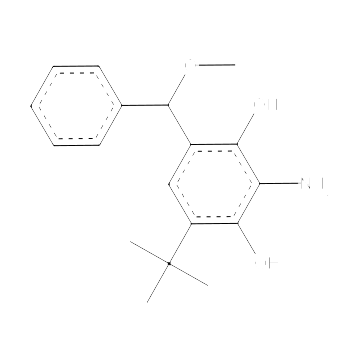 COC(c1ccccc1)c1cc(C(C)(C)C)c(O)c(N)c1O